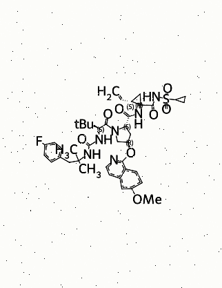 C=C[C@@H]1C[C@]1(NC(=O)[C@@H]1C[C@@H](Oc2nccc3cc(OC)ccc23)CN1C(=O)[C@@H](NC(=O)NC(C)(C)Cc1ccc(F)cc1)C(C)(C)C)C(=O)NS(=O)(=O)C1CC1